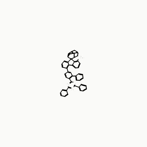 N#Cc1cccc2c1C1(c3cccc(-c4ccc(-c5nc(-c6ccccc6)nc(-c6ccccc6)n5)c(-c5ccccc5)c4)c3-2)C2CC3CC(C2)CC1C3